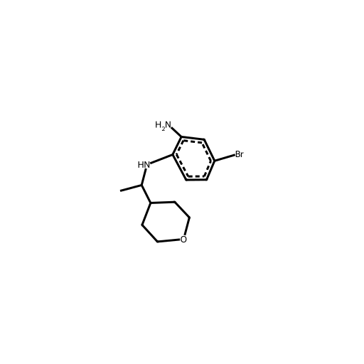 CC(Nc1ccc(Br)cc1N)C1CCOCC1